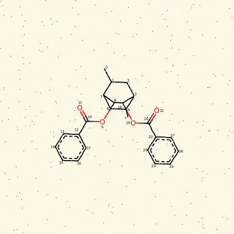 CC1CC2C(C)CC1C(OC(=O)c1ccccc1)C2OC(=O)c1ccccc1